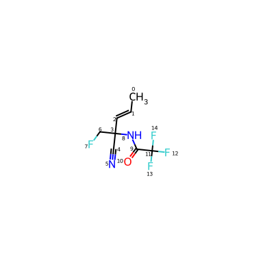 CC=CC(C#N)(CF)NC(=O)C(F)(F)F